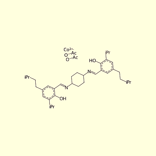 CC(=O)[O-].CC(=O)[O-].CC(C)CCc1cc(C=NC2CCC(N=Cc3cc(CCC(C)C)cc(C(C)C)c3O)CC2)c(O)c(C(C)C)c1.[Co+2]